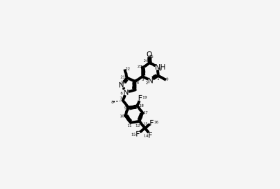 Cc1nc(-c2cn([C@@H](C)c3ccc(C(F)(F)F)cc3F)nc2C)cc(=O)[nH]1